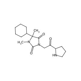 CN1C(=O)N(CC(=O)C2CCCN2)C(=O)C1(C)C1CCCCC1